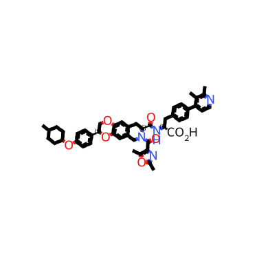 Cc1nc(C(=O)N2Cc3cc4c(cc3C[C@H]2C(=O)N[C@@H](Cc2ccc(-c3ccnc(C)c3C)cc2)C(=O)O)OC[C@H](c2ccc(OC3CCC(C)CC3)cc2)O4)c(C)o1